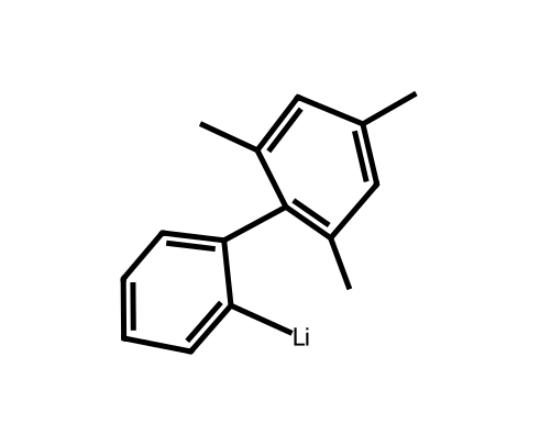 [Li][c]1ccccc1-c1c(C)cc(C)cc1C